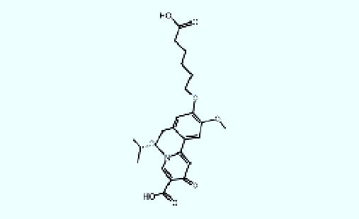 COc1cc2c(cc1OCCCCCC(=O)O)C[C@@H](C(C)C)n1cc(C(=O)O)c(=O)cc1-2